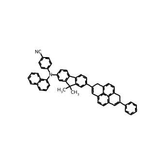 CC1(C)c2cc(C3=Cc4ccc5c6c(ccc(c46)C3)CC(c3ccccc3)=C5)ccc2-c2ccc(N(c3ccc(C#N)cc3)c3cccc4ccccc34)cc21